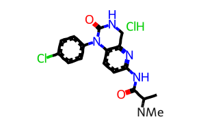 CNC(C)C(=O)Nc1ccc2c(n1)CNC(=O)N2c1ccc(Cl)cc1.Cl